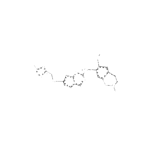 COc1cc2c(cc1Nc1ncc3ccc(NCc4noc(C)n4)cc3n1)CN(C)CC2